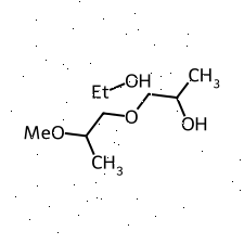 CCO.COC(C)COCC(C)O